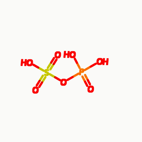 O=P(O)(O)OS(=O)(=O)O